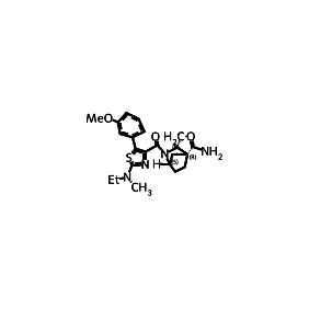 [CH2][C@H]1N(C(=O)c2nc(N(C)CC)sc2-c2cccc(OC)c2)[C@H]2CC[C@@]1(C(N)=O)C2